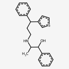 CC(NCCC(c1ccccc1)c1ccsc1)C(O)c1ccccc1